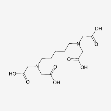 O=C(O)CN(CCCCCN(CC(=O)O)CC(=O)O)CC(=O)O